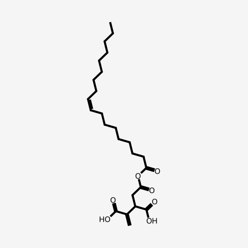 C=C(C(=O)O)C(CC(=O)OC(=O)CCCCCCC/C=C\CCCCCCCC)C(=O)O